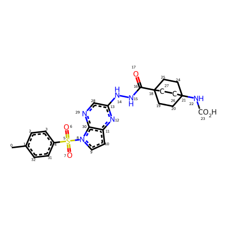 Cc1ccc(S(=O)(=O)n2ccc3nc(NNC(=O)C45CCC(NC(=O)O)(CC4)CC5)cnc32)cc1